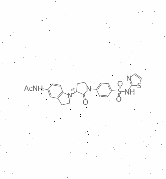 CC(=O)Nc1ccc2c(c1)CCN2[C@H]1CCN(c2ccc(S(=O)(=O)Nc3nccs3)cc2)C1=O